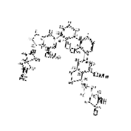 COc1nc(-c2cccc(-c3cccc(-c4cc5c(c(OC)n4)[C@H](N4CC6(CN(C(C)=O)C6)C4)CC5)c3Cl)c2Cl)cc2c1[C@H](N1CC3(CNC(=O)C3)C1)CC2